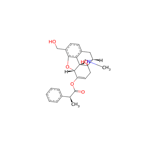 C[C@H](C(=O)OC1=CC[C@@]2(O)[C@H]3Cc4ccc(CO)c5c4[C@@]2(CCN3C)[C@H]1O5)c1ccccc1